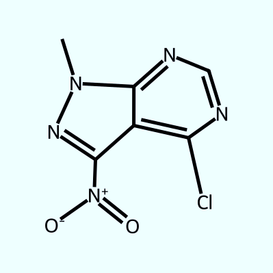 Cn1nc([N+](=O)[O-])c2c(Cl)ncnc21